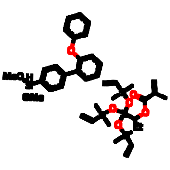 C=C[Si](C)(C)O[Si](O[Si](C)(C)C=C)(O[Si](C)(C)C=C)C(CC)OC(=O)C(=C)C.CO[SiH](OC)c1ccc(-c2ccccc2Oc2ccccc2)cc1